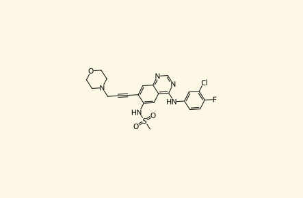 CS(=O)(=O)Nc1cc2c(Nc3ccc(F)c(Cl)c3)ncnc2cc1C#CCN1CCOCC1